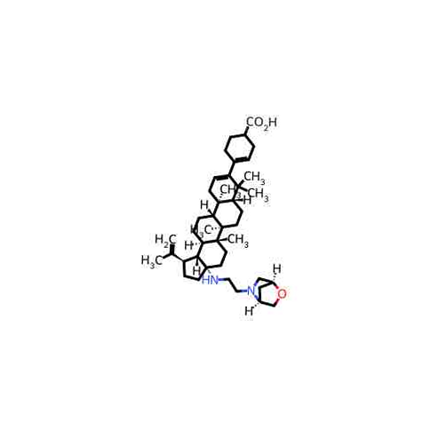 C=C(C)[C@@H]1CC[C@]2(NCCN3C[C@@H]4C[C@H]3CO4)CC[C@]3(C)[C@H](CC[C@@H]4[C@@]5(C)CC=C(C6=CCC(C(=O)O)CC6)C(C)(C)[C@@H]5CC[C@]43C)[C@@H]12